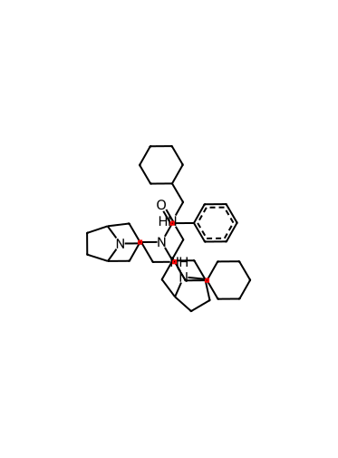 O=C(c1ccccc1)N(C1CC2CCC(C1)N2CCNCC1CCCCC1)C1CC2CCC(C1)N2CCNCC1CCCCC1